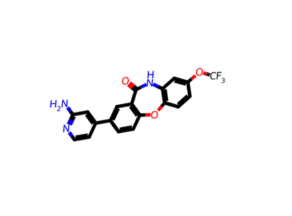 Nc1cc(-c2ccc3c(c2)C(=O)Nc2cc(OC(F)(F)F)ccc2O3)ccn1